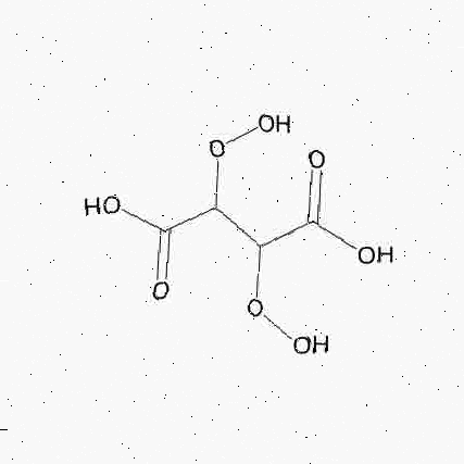 O=C(O)C(OO)C(OO)C(=O)O